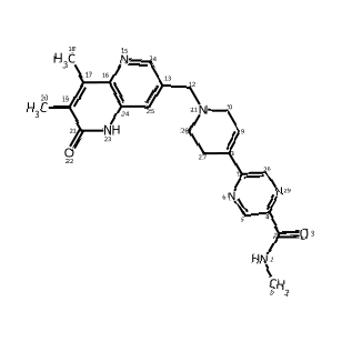 CNC(=O)c1cnc(C2=CCN(Cc3cnc4c(C)c(C)c(=O)[nH]c4c3)CC2)cn1